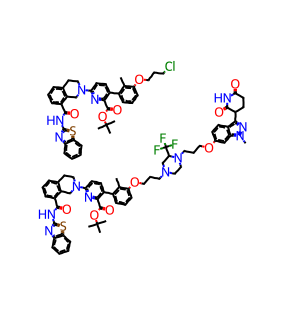 Cc1c(OCCCCl)cccc1-c1ccc(N2CCc3cccc(C(=O)Nc4nc5ccccc5s4)c3C2)nc1C(=O)OC(C)(C)C.Cc1c(OCCCN2CCN(CCCOc3ccc4c(C5CCC(=O)NC5=O)nn(C)c4c3)C(C(F)(F)F)C2)cccc1-c1ccc(N2CCc3cccc(C(=O)Nc4nc5ccccc5s4)c3C2)nc1C(=O)OC(C)(C)C